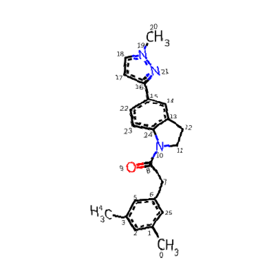 Cc1cc(C)cc(CC(=O)N2CCc3cc(-c4ccn(C)n4)ccc32)c1